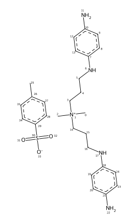 C[N+](C)(CCCNc1ccc(N)cc1)CCCNc1ccc(N)cc1.Cc1ccc(S(=O)(=O)[O-])cc1